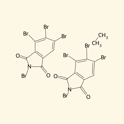 CC.O=C1c2cc(Br)c(Br)c(Br)c2C(=O)N1Br.O=C1c2cc(Br)c(Br)c(Br)c2C(=O)N1Br